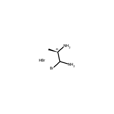 Br.C[C@@H](N)C(N)Br